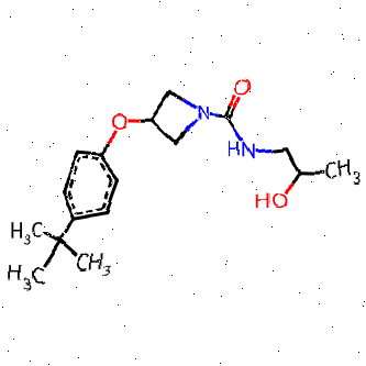 CC(O)CNC(=O)N1CC(Oc2ccc(C(C)(C)C)cc2)C1